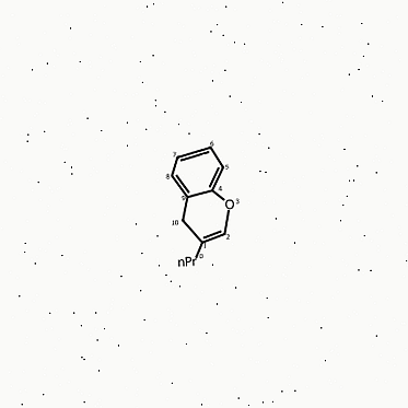 [CH2]CCC1=COc2ccccc2C1